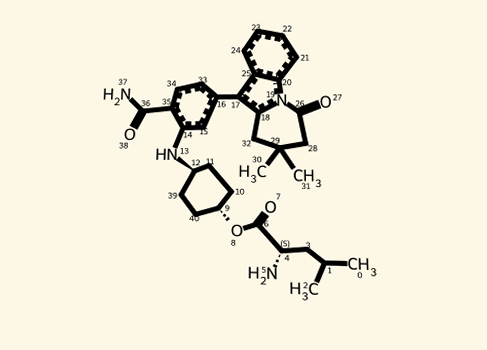 CC(C)C[C@H](N)C(=O)O[C@H]1CC[C@H](Nc2cc(-c3c4n(c5ccccc35)C(=O)CC(C)(C)C4)ccc2C(N)=O)CC1